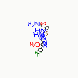 C/C(=N\NC(=S)Nc1ccccc1CC(N)=O)c1nn(C)c(-c2ccc(C(F)(F)F)cc2)c1O